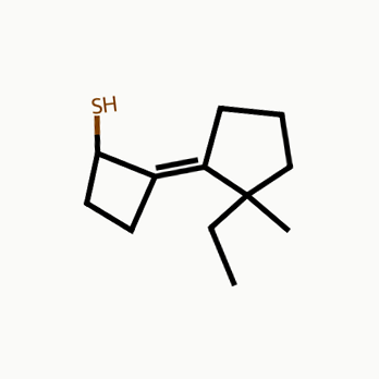 CCC1(C)CCC/C1=C1/CCC1S